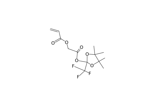 C=CC(=O)OCC(=O)OC1(C(F)(F)F)OC(C)(C)C(C)(C)O1